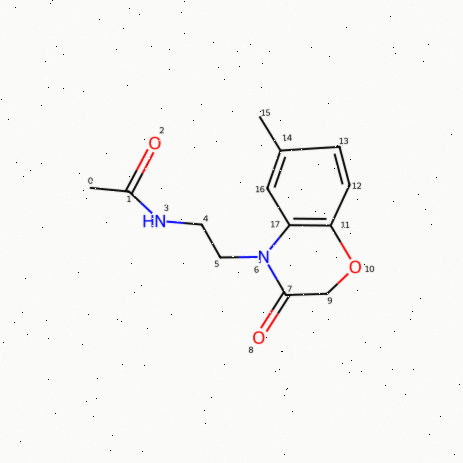 CC(=O)NCCN1C(=O)COc2ccc(C)cc21